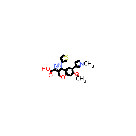 COc1cc2c(cc1-c1ccn(C)c1)-c1c(c(C(=O)O)nn1-c1ccsc1)CO2